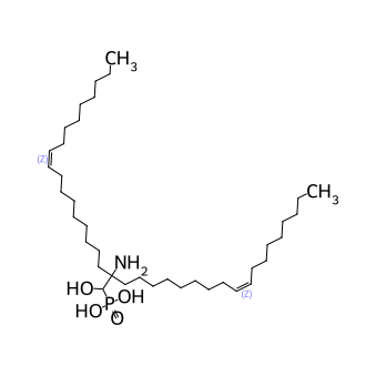 CCCCCCCC/C=C\CCCCCCCCC(N)(CCCCCCCC/C=C\CCCCCCCC)C(O)P(=O)(O)O